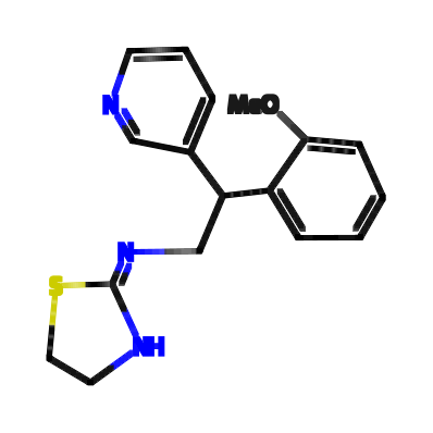 COc1ccccc1C(CN=C1NCCS1)c1cccnc1